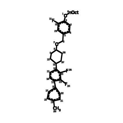 CCCCCCCCOc1ccc(COC2CCC(c3ccc(-c4ccc(C)cc4)c(F)c3F)CC2)cc1F